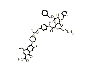 CCn1cc(C(=O)O)c(=O)c2cc(F)c(N3CCN(C(=O)OCc4ccc(NC(=O)[C@H](CCCCN)NC(=O)[C@H](Cc5cccs5)NC(=O)OCc5ccccc5)cc4)CC3)cc21